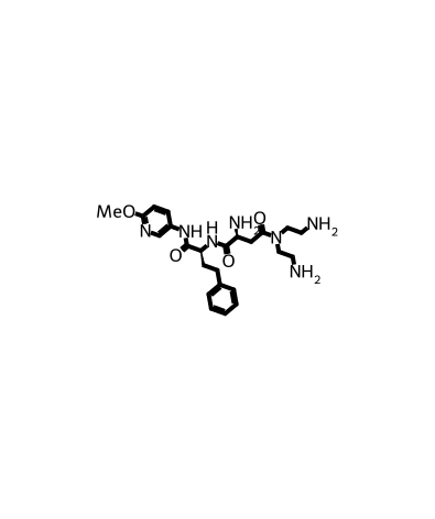 COc1ccc(NC(=O)[C@H](CCc2ccccc2)NC(=O)[C@@H](N)CC(=O)N(CCN)CCN)cn1